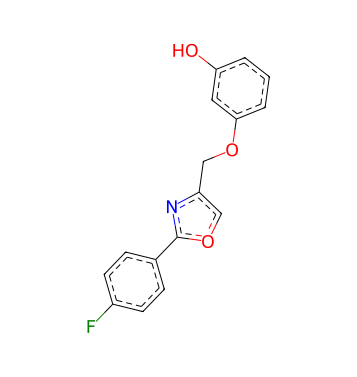 Oc1cccc(OCc2coc(-c3ccc(F)cc3)n2)c1